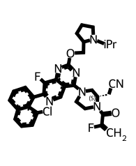 C=C(F)C(=O)N1CCN(c2nc(OCC3CCCN3C(C)C)nc3c(F)c(-c4cccc5cccc(Cl)c45)ncc23)C[C@@H]1CC#N